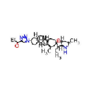 CCC(=O)c1cn(C2CC[C@@]3(C)[C@H](CC[C@H]4[C@@H]5CC[C@@]6(CC(C)=C5C[C@@H]43)O[C@@H]3C[C@H](C)CN[C@H]3[C@H]6C)C2)nn1